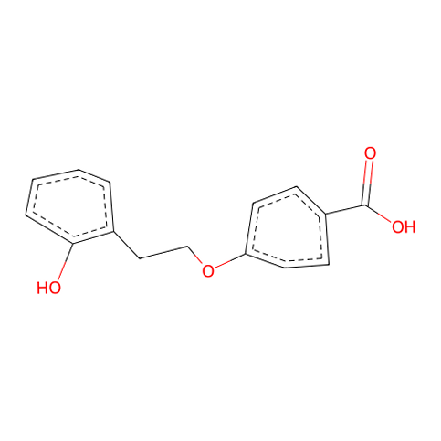 O=C(O)c1ccc(OCCc2ccccc2O)cc1